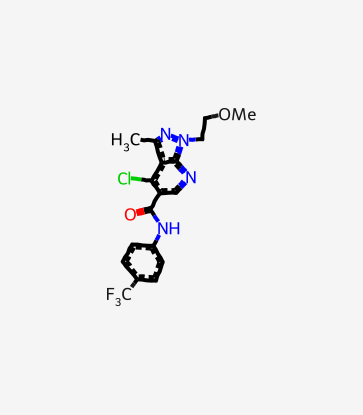 COCCn1nc(C)c2c(Cl)c(C(=O)Nc3ccc(C(F)(F)F)cc3)cnc21